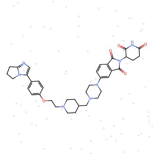 O=C1CCC(N2C(=O)c3ccc(N4CCN(CC5CCN(CCOc6ccc(-c7cnc8n7CCC8)cc6)CC5)CC4)cc3C2=O)C(=O)N1